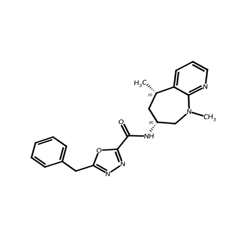 C[C@H]1C[C@@H](NC(=O)c2nnc(Cc3ccccc3)o2)CN(C)c2ncccc21